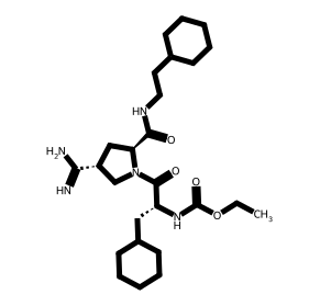 CCOC(=O)N[C@H](CC1CCCCC1)C(=O)N1C[C@H](C(=N)N)C[C@H]1C(=O)NCCC1CCCCC1